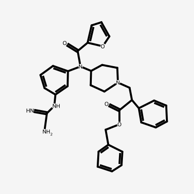 N=C(N)Nc1cccc(N(C(=O)c2ccco2)C2CCN(CC(C(=O)OCc3ccccc3)c3ccccc3)CC2)c1